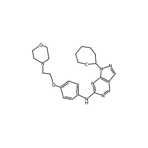 c1cc(OCCN2CCOCC2)ccc1Nc1ncc2cnn(C3CCCCCC3)c2n1